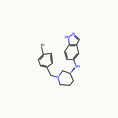 CC(C)c1ccc(CN2CCC[C@H](Nc3ccc4[nH]ncc4c3)C2)cc1